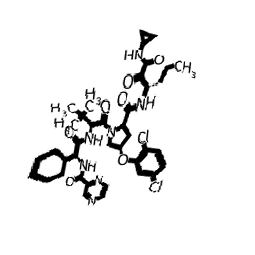 CCC[C@H](NC(=O)C1C[C@@H](Oc2cc(Cl)ccc2Cl)CN1C(=O)[C@@H](NC(=O)[C@@H](NC(=O)c1cnccn1)C1CCCCC1)C(C)(C)C)C(=O)C(=O)NC1CC1